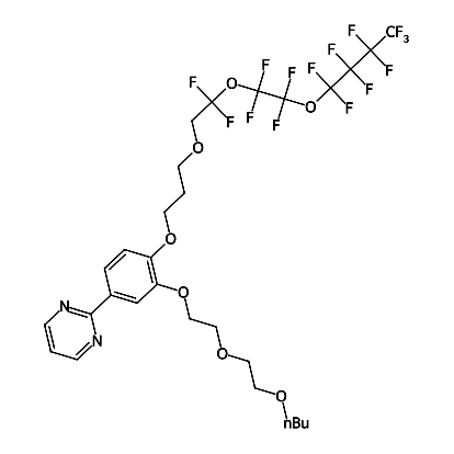 CCCCOCCOCCOc1cc(-c2ncccn2)ccc1OCCCOCC(F)(F)OC(F)(F)C(F)(F)OC(F)(F)C(F)(F)C(F)(F)C(F)(F)F